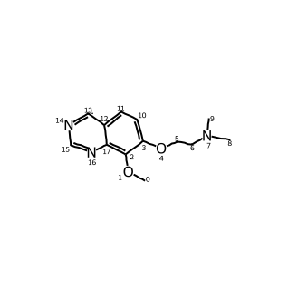 COc1c(OCCN(C)C)ccc2[c]ncnc12